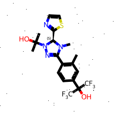 Cc1cc(C(O)(C(F)(F)F)C(F)(F)F)ccc1C1=NN(C(C)(C)O)[C@@H](c2n[c]cs2)N1C